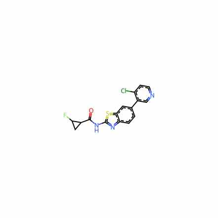 O=C(Nc1nc2ccc(-c3cnccc3Cl)cc2s1)C1CC1F